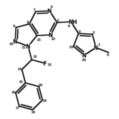 Cn1cc(Nc2ncc3cnn(C(F)Cc4ccccc4)c3n2)cn1